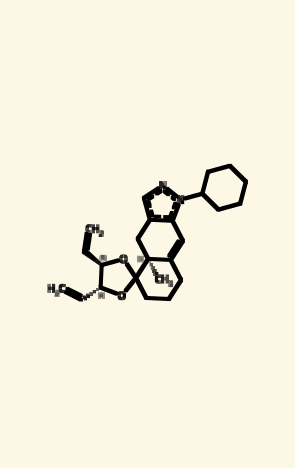 C=C[C@H]1OC2(CCCC3=Cc4c(cnn4C4CCCCC4)C[C@@]32C)O[C@@H]1C=C